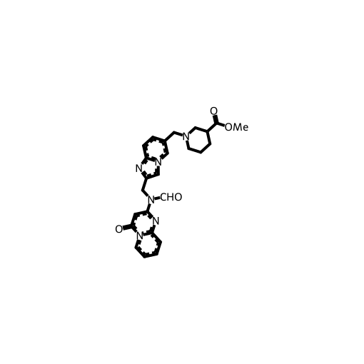 COC(=O)C1CCCN(Cc2ccc3nc(CN(C=O)c4cc(=O)n5ccccc5n4)cn3c2)C1